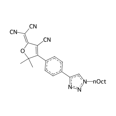 [C-]#[N+]/C(C#N)=C1\OC(C)(C)C(c2ccc(-c3cn(CCCCCCCC)nn3)cc2)=C1C#N